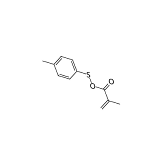 C=C(C)C(=O)OSc1ccc(C)cc1